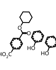 O=C(O)c1ccc(C(=O)OC2CCCCC2)cc1.Oc1ccccc1.Oc1ccccc1